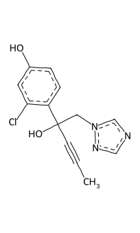 CC#CC(O)(Cn1cncn1)c1ccc(O)cc1Cl